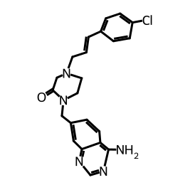 Nc1ncnc2cc(CN3CCN(CC=Cc4ccc(Cl)cc4)CC3=O)ccc12